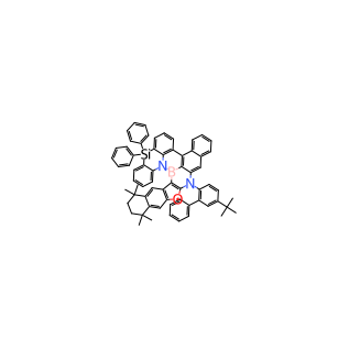 CC(C)(C)c1ccc(N2c3cc4ccccc4c4c3B(c3c2oc2cc5c(cc32)C(C)(C)CCC5(C)C)N2c3ccccc3[Si](c3ccccc3)(c3ccccc3)c3cccc-4c32)c(-c2ccccc2)c1